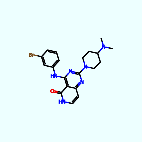 CN(C)C1CCN(c2nc(Nc3cccc(Br)c3)c3c(=O)[nH]ccc3n2)CC1